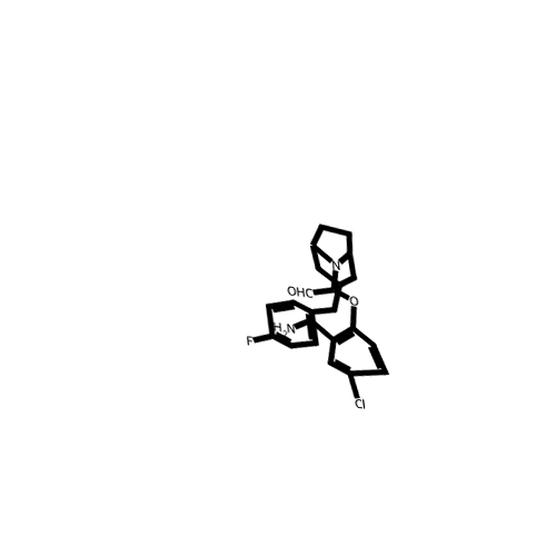 NCc1cc(Cl)ccc1OC(C=O)N1C2CCC1CC(Cc1ccc(F)cc1)C2